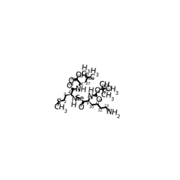 CSCC[C@H](N[Se]C(=O)[C@H](CCCCN)NC(=O)OC(C)(C)C)C(=O)N[C@@H](CC(C)C)C(=O)O